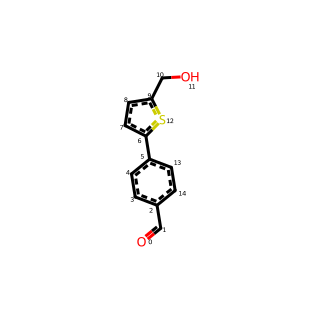 O=Cc1ccc(-c2ccc(CO)s2)cc1